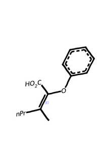 CCC/C(C)=C(/Oc1ccccc1)C(=O)O